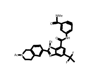 CCn1c(-c2ccc3c(c2)CCN(C(C)=O)C3)nc2cc(C(C)(F)F)cc(C(=O)Nc3cc#cc(C(=O)NC)c3)c21